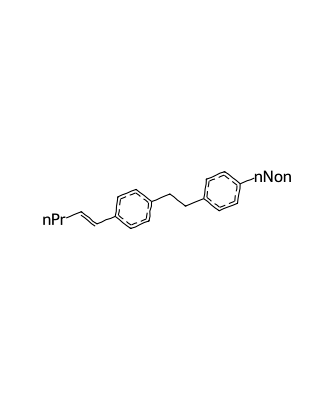 CCCC=Cc1ccc(CCc2ccc(CCCCCCCCC)cc2)cc1